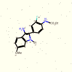 CCOC(=O)Nc1ccc(-c2c(N)c3ccc(OC)cc3n2CC)cc1F